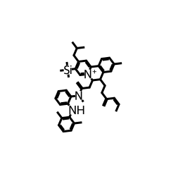 C=C(/C=C\C)CCC1c2cc(C)ccc2-c2cc(CC(C)C)c([Si](C)(C)C)c[n+]2C1CC(=C)N(C)c1ccccc1Nc1c(C)cccc1C